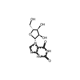 O=c1[nH]c(=O)c2c(ncn2[C@@H]2O[C@H](CO)[C@@H](O)[C@H]2O)[nH]1